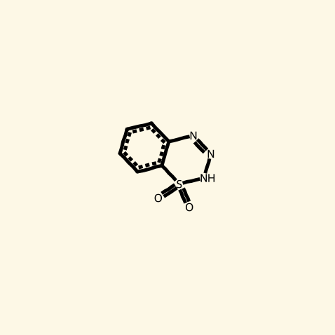 O=S1(=O)NN=Nc2ccccc21